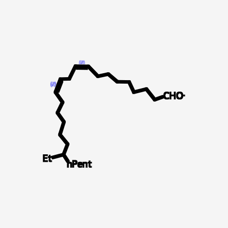 CCCCCC(CC)CCCCC/C=C\C/C=C\CCCCCCC[C]=O